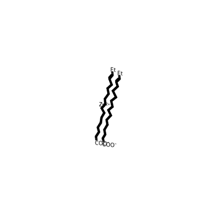 CCC=CCCCCCCCCCCCCC(=O)[O-].CCC=CCCCCCCCCCCCCC(=O)[O-].[Zn+2]